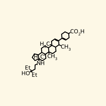 CCC(O)(CC)CCNC12CCCC1C1CCC3C4(C)CC=C(C5=CCC(C(=O)O)CC5)C(C)C4CCC3(C)[C@]1(C)CC2